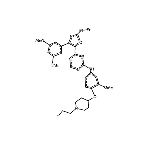 CCNc1nc(-c2cc(OC)cc(OC)c2)c(-c2ccnc(Nc3ccc(OC4CCN(CCF)CC4)c(OC)c3)n2)o1